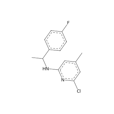 Cc1cc(Cl)nc(NC(C)c2ccc(F)cc2)c1